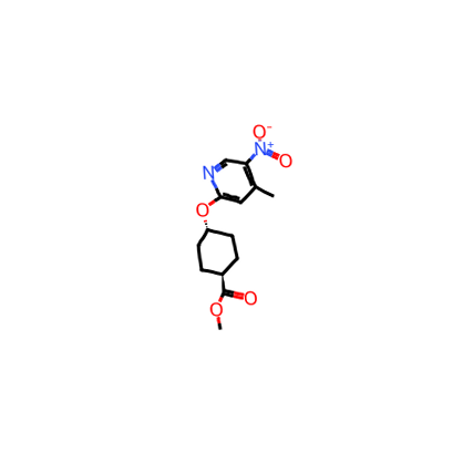 COC(=O)[C@H]1CC[C@H](Oc2cc(C)c([N+](=O)[O-])cn2)CC1